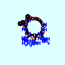 N=C(N)NCCC[C@@H]1CC(=O)[C@H](CCCNC(N)N)NC(=O)CNC(=O)[C@H](Cc2cccc3ccccc23)NC(=O)[C@H](Cc2ccccc2)NC(=O)COCCOCCNC(=O)CNC(=O)[C@H](CCCNC(=N)N)NC1=O